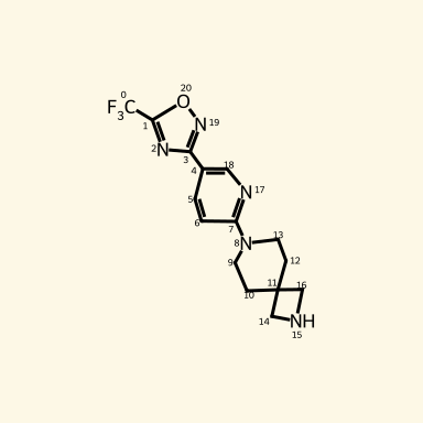 FC(F)(F)c1nc(-c2ccc(N3CCC4(CC3)CNC4)nc2)no1